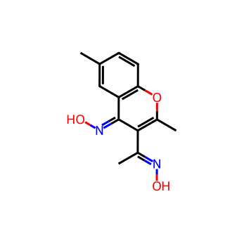 CC(=NO)c1c(C)oc2ccc(C)cc2c1=NO